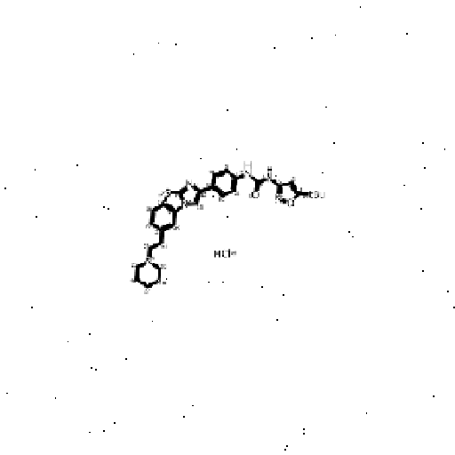 CC(C)(C)c1cc(NC(=O)Nc2ccc(-c3cn4c(n3)sc3ccc(CCN5CCCCC5)cc34)cc2)no1.Cl